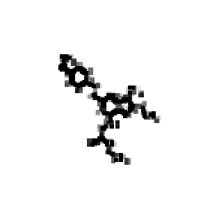 CCOC(O)CNc1nc(SCc2ccc(OC)cc2)nc2c1nc(CC)n2C